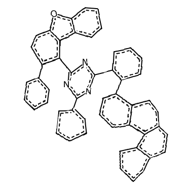 c1ccc(-c2nc(-c3ccccc3-c3cccc4c3ccc3ccc5ccccc5c34)nc(-c3c(-c4ccccc4)ccc4oc5ccccc5c34)n2)cc1